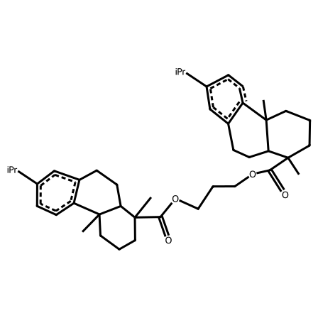 CC(C)c1ccc2c(c1)CCC1C(C)(C(=O)OCCCOC(=O)C3(C)CCCC4(C)c5ccc(C(C)C)cc5CCC34)CCCC21C